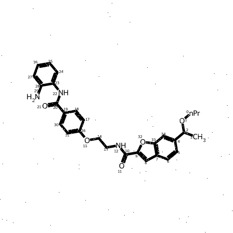 CCCOC(C)c1ccc2cc(C(=O)NCCOc3ccc(C(=O)Nc4ccccc4N)cc3)oc2c1